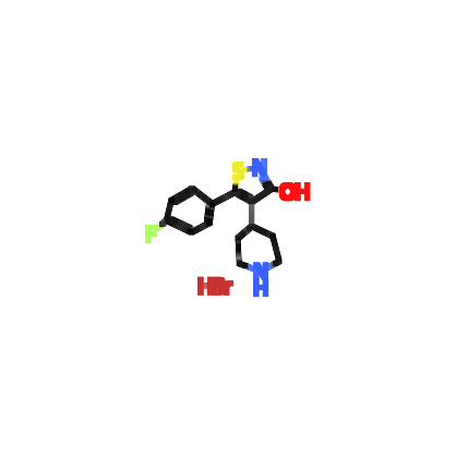 Br.Oc1nsc(-c2ccc(F)cc2)c1C1CCNCC1